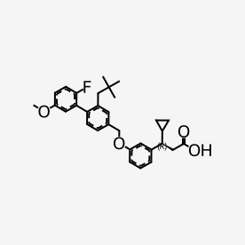 COc1ccc(F)c(-c2ccc(COc3cccc([C@H](CC(=O)O)C4CC4)c3)cc2CC(C)(C)C)c1